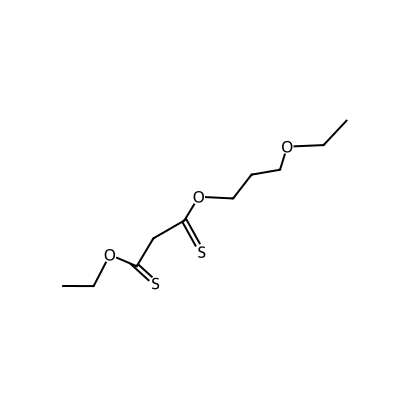 CCOCCCOC(=S)CC(=S)OCC